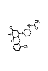 Cn1c(=O)cc(N2CCC[C@@H](NC(=O)C(F)(F)F)C2)n(Cc2ccccc2C#N)c1=O